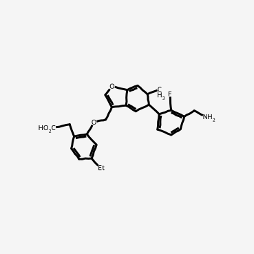 CCc1ccc(CC(=O)O)c(OCc2coc3c2=CC(c2cccc(CN)c2F)C(C)C=3)c1